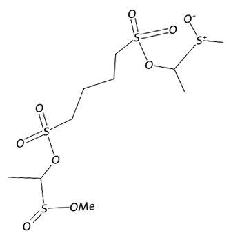 COS(=O)C(C)OS(=O)(=O)CCCCS(=O)(=O)OC(C)[S+](C)[O-]